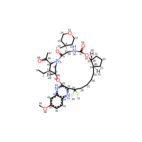 CC[C@@H]1[C@@H]2CN(C(=O)[C@H](C3(C)CCOCC3)NC(=O)O[C@@H]3CCC[C@H]3CCCCC(F)(F)c3nc4ccc(OC)cc4nc3O2)[C@@H]1C(C)=O